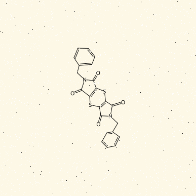 O=c1c2sc3c(=O)n(Cc4ccccc4)c(=O)c3sc2c(=O)n1Cc1ccccc1